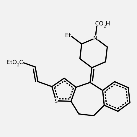 CCOC(=O)C=Cc1cc2c(s1)CCc1ccccc1C2=C1CCN(C(=O)O)C(CC)C1